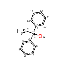 [O][Si]([SiH3])(c1ccccc1)c1ccccc1